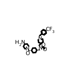 NC1CCN(C(=O)[C@H]2CC[C@H](CN3CC4(CCN(Cc5ccc(C(F)(F)F)cc5)CC4)OC3=O)CC2)CC1